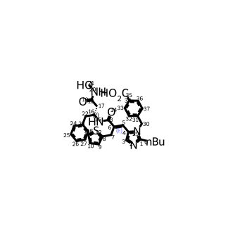 CCCCc1ncc(/C=C(\Cc2cccs2)C(=O)N[C@@H](CC(=O)NO)Cc2ccccc2)n1Cc1ccc(C(=O)O)cc1